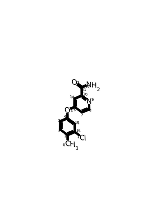 Cc1ccc(Oc2ccnc(C(N)=O)c2)cc1Cl